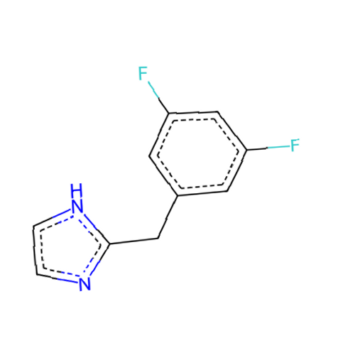 Fc1cc(F)cc(Cc2ncc[nH]2)c1